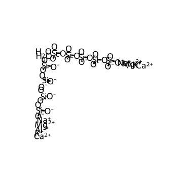 O.O.O=[Si]([O-])[O-].O=[Si]([O-])[O-].O=[Si]([O-])[O-].O=[Si]([O-])[O-].O=[Si]([O-])[O-].O=[Si]([O-])[O-].O=[Si]([O-])[O-].O=[Si]([O-])[O-].O=[Si]([O-])[O-].[Al+3].[Al+3].[Ca+2].[Ca+2].[K+].[K+].[Mg+2].[Mg+2].[Na+].[Na+]